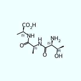 C[C@H](NC(=O)[C@H](C)NC(=O)[C@@H](N)[C@@H](C)O)C(=O)O